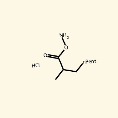 CCCCCCC(C)C(=O)ON.Cl